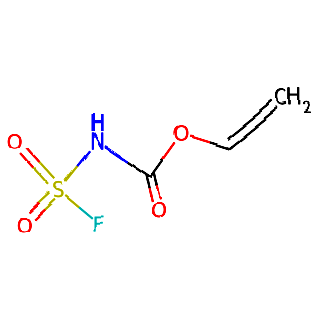 C=COC(=O)NS(=O)(=O)F